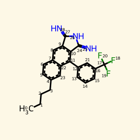 CCCCc1ccc2cc3c(c(-c4cccc(C(F)(F)F)c4)c2c1)C(=N)NC3=N